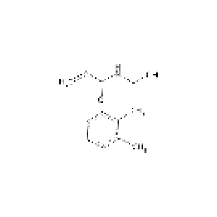 C=CC(=O)NCO.Cc1ccccc1C